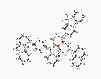 CC1(C)c2ccccc2-c2ccc(-c3ccc(N(c4ccc(-c5cccc6sc7ccccc7c56)cc4)c4ccccc4-c4cccc(-c5cccc6ccccc56)c4)cc3)cc21